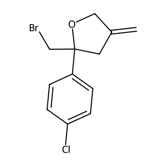 C=C1COC(CBr)(c2ccc(Cl)cc2)C1